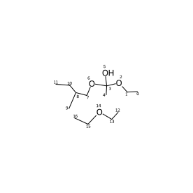 CCOC(C)(O)OCC(C)CC.CCOCC